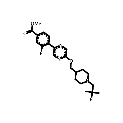 COC(=O)c1ccc(-c2cnc(OCC3CCN(CC(C)(C)F)CC3)cn2)c(F)c1